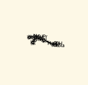 CC(C)N1C(=O)N(Cc2ncnc(OCc3ccccc3)c2OCc2ccccc2)CC1c1ccc(C#CC#CC2CC(O[Si](C)(C)C(C)(C)C)C2)cc1